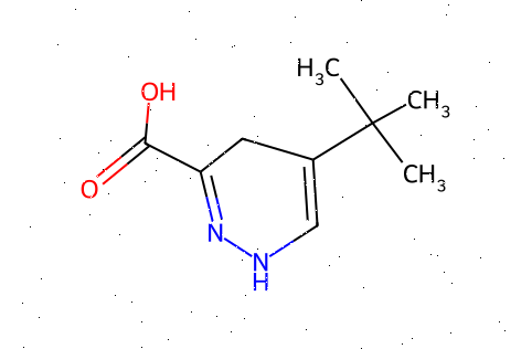 CC(C)(C)C1=CNN=C(C(=O)O)C1